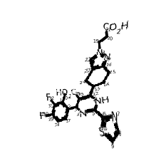 Cc1c(C2N=C(c3nccs3)NC(C3CCc4nn(CCC(=O)O)cc4C3)=C2C(=O)O)ccc(F)c1F